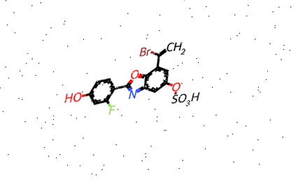 C=C(Br)c1cc(OS(=O)(=O)O)cc2nc(-c3ccc(O)cc3F)oc12